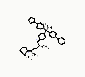 C=C1C=CCC/C1=C(/C)CCC(C)/C=C1/C=CC(C(NC)(c2ccc(C3=CC=CC3)cc2)c2ccc(-c3ccccc3)cc2)=CC1